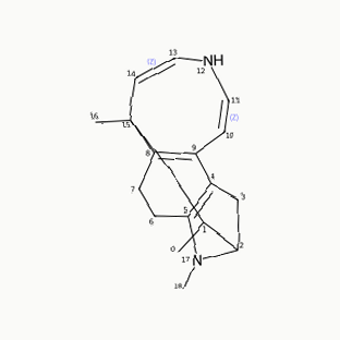 CC1C2CC3=C(CCC4=C3/C=C\N/C=C\C41C)N2C